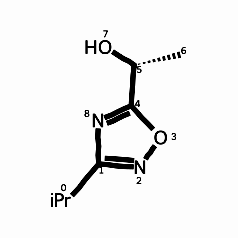 CC(C)c1noc([C@@H](C)O)n1